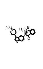 CCCCN1CCC(c2csc3ccc(NC(=O)c4ccccc4S(C)(=O)=O)cc23)CC1